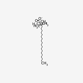 CCCCCCCCCCCCCCCCCCC[N+](C)(C)C(C)(C)C(=O)[O-]